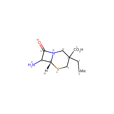 CSCC1(C(=O)O)CS[C@@H]2C(N)C(=O)N2C1